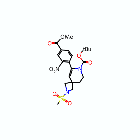 COC(=O)c1ccc(C2=CC3(CCN2C(=O)OC(C)(C)C)CN(S(C)(=O)=O)C3)c([N+](=O)[O-])c1